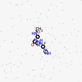 C=CC(=O)Nc1cccc(-n2ccc(=O)c3cnc(Nc4ccc(N5CCNCC5)cc4F)nc32)c1